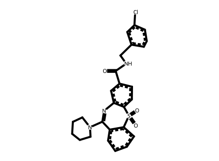 O=C(NCc1cccc(Cl)c1)c1ccc2c(c1)N=C(N1CCCCC1)c1ccccc1S2(=O)=O